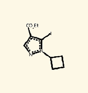 CCOC(=O)c1cnn(C2CCC2)c1I